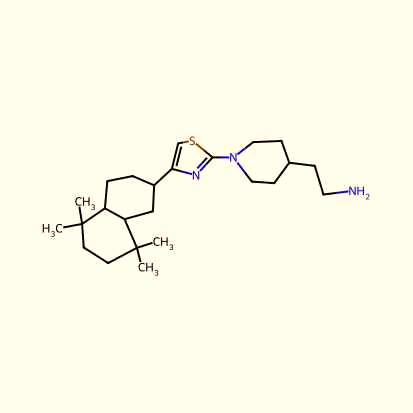 CC1(C)CCC(C)(C)C2CC(c3csc(N4CCC(CCN)CC4)n3)CCC21